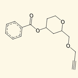 C#CCOCC1CC(OC(=O)c2ccccc2)CCO1